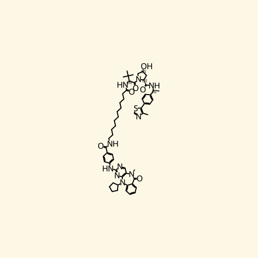 Cc1ncsc1-c1ccc([C@H](C)NC(=O)[C@@H]2C[C@@H](O)CN2C(=O)[C@@H](NC(=O)CCCCCCCCCCCNC(=O)c2ccc(Nc3ncc4c(n3)N(C3CCCC3)c3ccccc3C(=O)N4C)cc2)C(C)(C)C)cc1